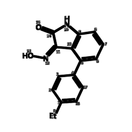 CCc1ccc(-c2cccc3c2C(=NO)C(=O)N3)cc1